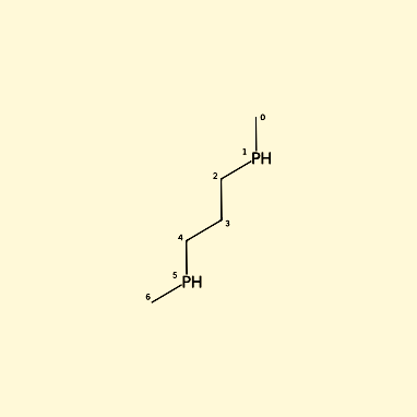 CPCCCPC